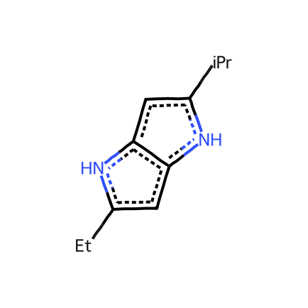 CCc1cc2[nH]c(C(C)C)cc2[nH]1